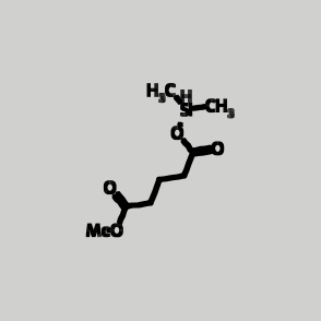 COC(=O)CCCC(=O)O[SiH](C)C